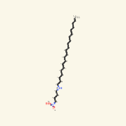 CCCCCCCCCCCCCCCCCCCCCCCCCCCCCCNCCCC[N+](=O)O